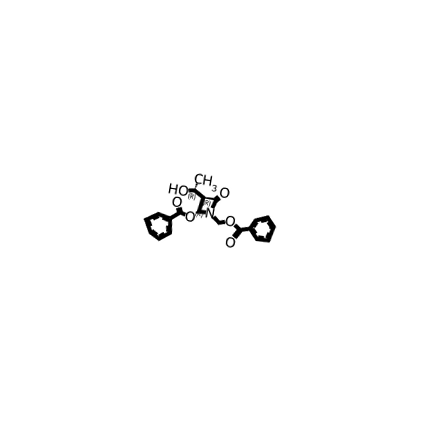 C[C@@H](O)[C@H]1C(=O)N(COC(=O)c2ccccc2)[C@@H]1OC(=O)c1ccccc1